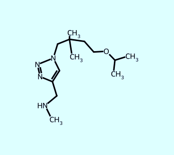 CNCc1cn(CC(C)(C)CCOC(C)C)nn1